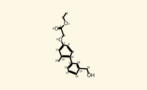 CCOC(=O)COc1ccc(-c2cccc(CO)c2)c(C)c1